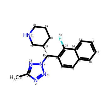 Cc1nnn([C@@H](c2ccc3ccccc3c2F)C2CCCNC2)n1